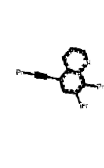 CC(C)C#Cc1cc(C(C)C)c(C(C)C)c2ncccc12